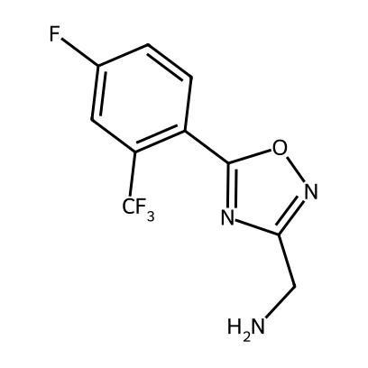 NCc1noc(-c2ccc(F)cc2C(F)(F)F)n1